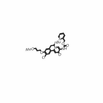 CCCCC1Cc2cc(OCCCOC)c(Cl)cc2-c2cc(=O)c(NC(=O)OCc3ccccn3)cn21